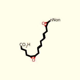 CCCCCCCCCC1OC1CC=CCC=CCC1OC1CCCC(=O)O